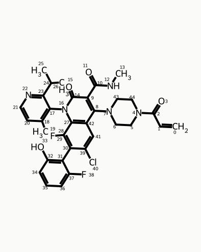 C=CC(=O)N1CCN(c2c(C(=O)NC)c(=O)n(-c3c(C)ccnc3C(C)C)c3c(F)c(-c4c(O)cccc4F)c(Cl)cc23)CC1